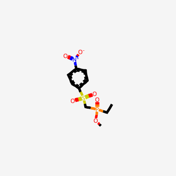 CCP(=O)(CS(=O)(=O)c1ccc([N+](=O)[O-])cc1)OC